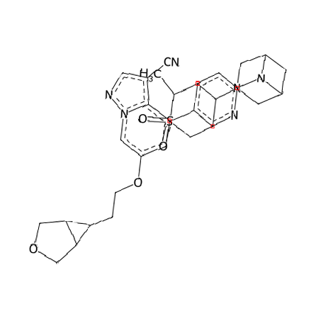 CC1CC(N2CC3CC(C2)N3c2ccc(-c3cc(OCCC4C5COCC45)cn4ncc(C#N)c34)cn2)CCS1(=O)=O